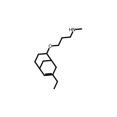 CCC1=CC2CCC(OCCCNC)C(C1)C2